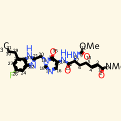 CNC(=O)C=CCCC(NC(=O)OC)C(=O)Nc1cncn(Cc2nc3cc(F)cc(CCC(F)(F)F)c3[nH]2)c1=O